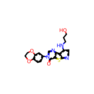 O=c1c2sc3nccc(NCCCO)c3c2ncn1-c1ccc2c(c1)OCCO2